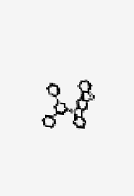 c1ccc(-c2cc(-c3ccccc3)cc(-n3c4ccccc4c4cc5oc6ccccc6c5cc43)c2)cc1